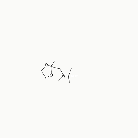 CN(CC1(C)OCCO1)C(C)(C)C